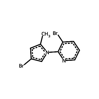 Cc1cc(Br)cn1-c1ncccc1Br